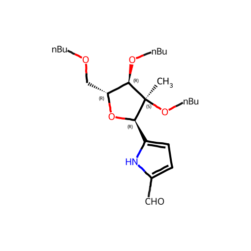 CCCCOC[C@H]1O[C@H](c2ccc(C=O)[nH]2)[C@](C)(OCCCC)[C@@H]1OCCCC